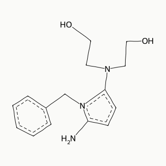 Nc1ccc(N(CCO)CCO)n1Cc1ccccc1